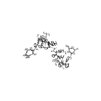 CC(C)[C@H](NC(=O)CC[C@H](N)C(=O)N[C@H](C(=O)N[C@@H](C)C(=O)OCc1ccccc1)C(C)C)C(=O)N[C@@H](C)C(=O)OCc1ccccc1